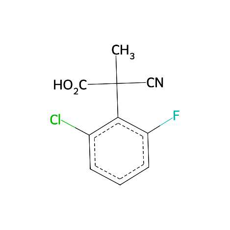 CC(C#N)(C(=O)O)c1c(F)cccc1Cl